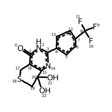 O=c1[nH]c(-c2ccc(C(F)(F)F)cc2)nc2c1CSCC2(O)O